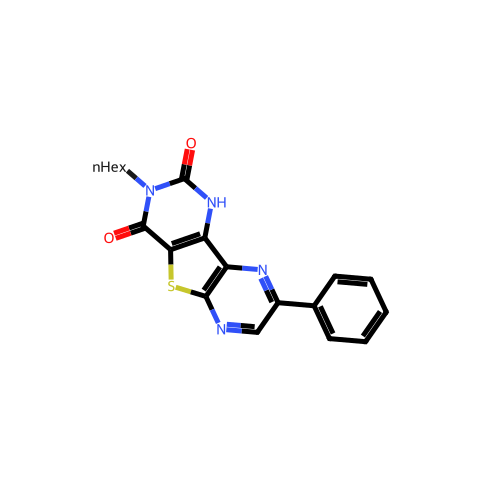 CCCCCCn1c(=O)[nH]c2c(sc3ncc(-c4ccccc4)nc32)c1=O